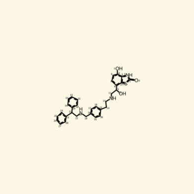 O=c1[nH]c2c(O)ccc(C(O)CNCCc3ccc(CNCC(c4ccccc4)c4ccccc4)cc3)c2s1